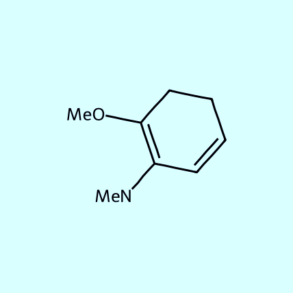 CNC1=C(OC)CCC=C1